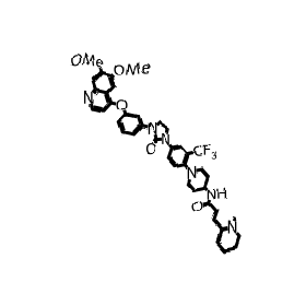 COc1cc2nccc(Oc3cccc(N4CCN(c5ccc(N6CCC(NC(=O)CCC7CCCCN7C)CC6)c(C(F)(F)F)c5)C4=O)c3)c2cc1OC